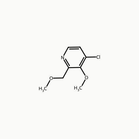 COCc1nccc(Cl)c1OC